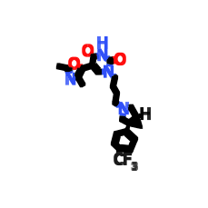 Cc1nc(C)c(-c2cn(CCCCN3C[C@@H]4C[C@]4(c4ccc(C(F)(F)F)cc4)C3)c(=O)[nH]c2=O)o1